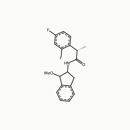 COC1c2ccccc2CC1NC(=O)[C@@H](C)c1ccc(F)cc1F